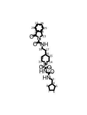 O=C(NCC1CCCC1)NS(=O)(=O)N1CCC(CCNC(=O)N2Cc3ccccc3C2=O)CC1